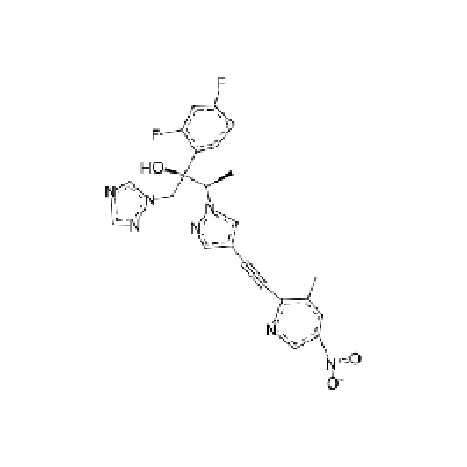 Cc1cc([N+](=O)[O-])cnc1C#Cc1cnn([C@H](C)[C@](O)(Cn2cncn2)c2ccc(F)cc2F)c1